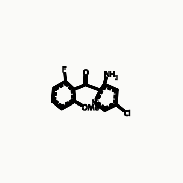 COc1cccc(F)c1C(=O)c1ncc(Cl)cc1N